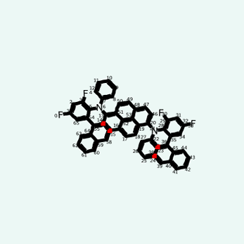 Fc1cc(F)c(N(c2ccccc2)c2ccc3ccc4c(N(c5ccccc5)c5c(F)cc(F)cc5-c5cccc6ccccc56)ccc5ccc2c3c54)c(-c2cccc3ccccc23)c1